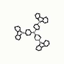 C1=CC(n2c3ccccc3c3ccccc32)CC=C1N(c1ccc(-n2c3ccccc3c3ccccc32)cc1)c1ccc(-n2c3ccccc3c3ccccc32)cc1